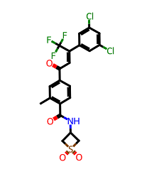 Cc1cc(C(=O)C=C(c2cc(Cl)cc(Cl)c2)C(F)(F)F)ccc1C(=O)NC1CS(=O)(=O)C1